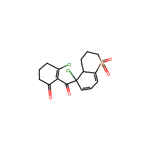 O=C1CCCC(Cl)=C1C(=O)C1(Cl)C=CC=C2C1CCCS2(=O)=O